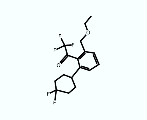 CCOCc1cccc(C2CCC(F)(F)CC2)c1C(=O)C(F)(F)F